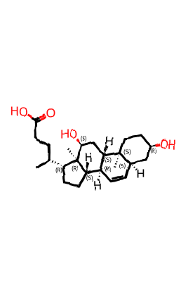 CC(CCC(=O)O)[C@H]1CC[C@H]2[C@@H]3C=C[C@@H]4C[C@H](O)CC[C@]4(C)[C@H]3C[C@H](O)[C@]12C